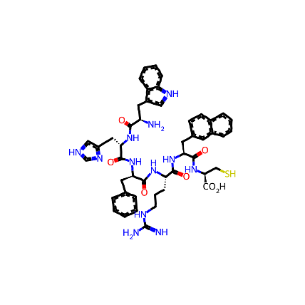 N=C(N)NCCC[C@H](NC(=O)[C@@H](Cc1ccccc1)NC(=O)[C@H](Cc1c[nH]cn1)NC(=O)[C@H](N)Cc1c[nH]c2ccccc12)C(=O)N[C@@H](Cc1ccc2ccccc2c1)C(=O)N[C@@H](CS)C(=O)O